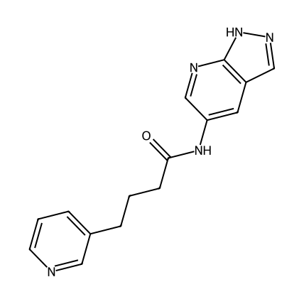 O=C(CCCc1cccnc1)Nc1cnc2[nH]ncc2c1